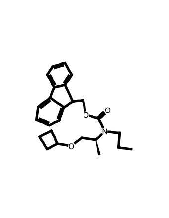 CCCN(C(=O)OCC1c2ccccc2-c2ccccc21)[C@@H](C)COC1CCC1